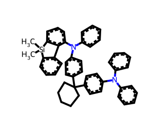 C[Si]1(C)c2ccccc2-c2c(N(c3ccccc3)c3ccc(C4(c5ccc(N(c6ccccc6)c6ccccc6)cc5)CCCCC4)cc3)cccc21